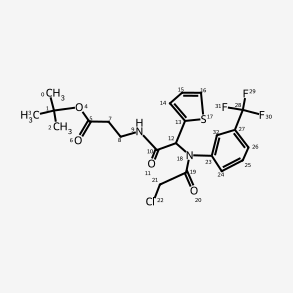 CC(C)(C)OC(=O)CCNC(=O)C(c1cccs1)N(C(=O)CCl)c1cccc(C(F)(F)F)c1